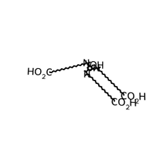 CC(CCCCCCCCCCCCCCCCC(=O)O)N(C)Cc1cc(C(C)N(C)CCCCCCCCCCCCCCCCCC(=O)O)cc(C(C)N(C)CCCCCCCCCCCCCCCCCC(=O)O)c1O